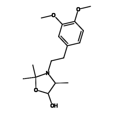 COc1ccc(CCN2C(C)C(O)OC2(C)C)cc1OC